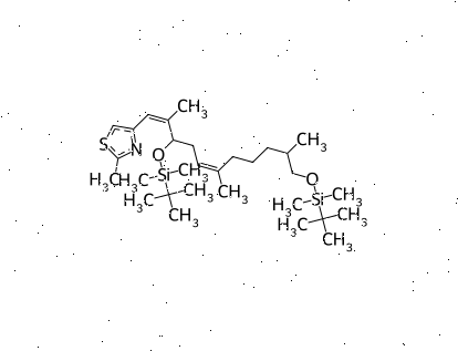 CC(=CCC(O[Si](C)(C)C(C)(C)C)C(C)=Cc1csc(C)n1)CCCC(C)CO[Si](C)(C)C(C)(C)C